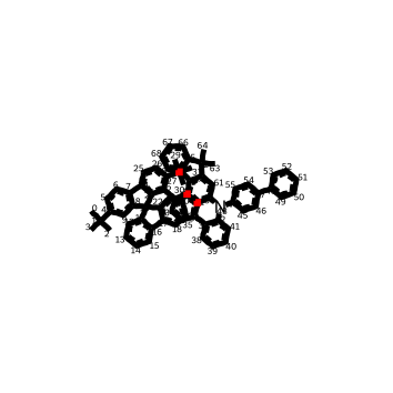 CC(C)(C)c1ccc2c(c1)C1(c3ccccc3-c3ccccc31)c1c-2ccc(C(C)(C)C)c1-c1ccc(-c2ccccc2N(c2ccc(-c3ccccc3)cc2)c2ccc3c(c2)C(C)(C)c2ccccc2-3)cc1